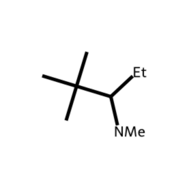 [CH2]NC(CC)C(C)(C)C